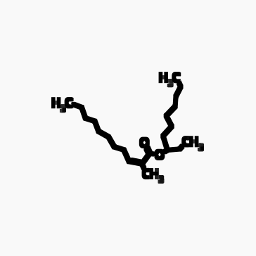 CCCCCCCCC=C(C)C(=O)OC(CC)CCCCCCC